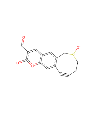 O=Cc1cc2cc3c(cc2oc1=O)C#CCC[S+]([O-])C3